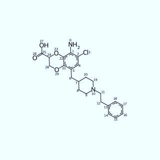 Nc1c(Cl)cc(CC2CCN(CCc3ccccc3)CC2)c2c1OC(C(=O)O)CO2